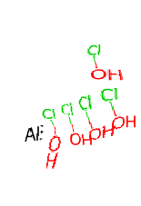 OCl.OCl.OCl.OCl.OCl.[Al]